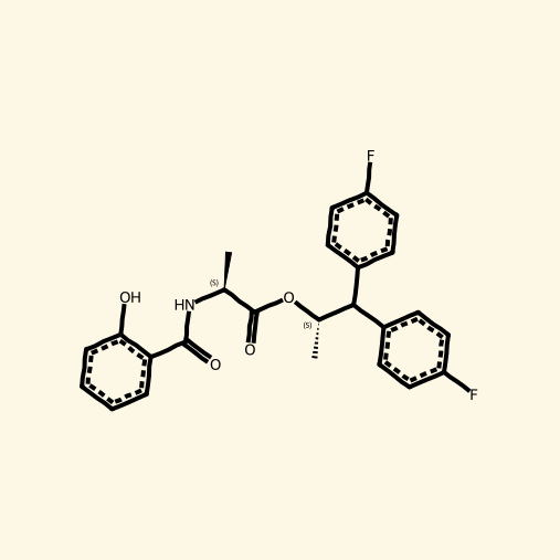 C[C@H](NC(=O)c1ccccc1O)C(=O)O[C@@H](C)C(c1ccc(F)cc1)c1ccc(F)cc1